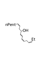 CC/C=C\C/C=C\C=C\C(O)C/C=C\CCCCC